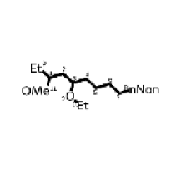 [CH2]CC(CC(CCCCCCCCCCCCC)OCC)OC